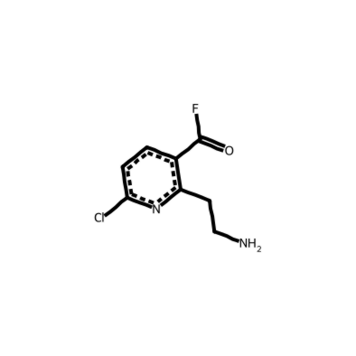 NCCc1nc(Cl)ccc1C(=O)F